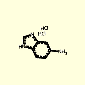 Cl.Cl.Nc1ccc2[nH]cnc2c1